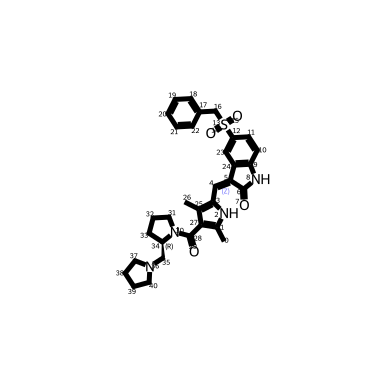 Cc1[nH]c(/C=C2\C(=O)Nc3ccc(S(=O)(=O)Cc4ccccc4)cc32)c(C)c1C(=O)N1CCC[C@@H]1CN1CCCC1